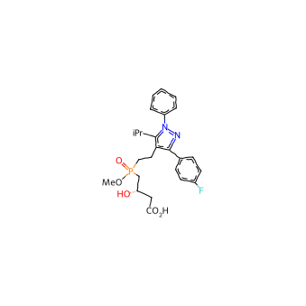 COP(=O)(CCc1c(-c2ccc(F)cc2)nn(-c2ccccc2)c1C(C)C)C[C@@H](O)CC(=O)O